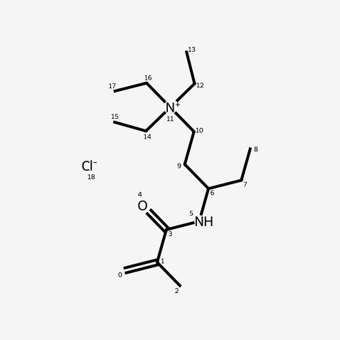 C=C(C)C(=O)NC(CC)CC[N+](CC)(CC)CC.[Cl-]